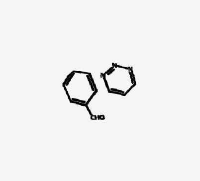 O=Cc1ccccc1.c1cnnnc1